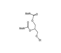 CCOCC(COC(=O)NC)OC(=O)NC